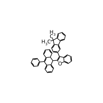 CC1(C)c2ccccc2-c2cc(-c3c(C4c5ccccc5C(c5ccccc5)=C5C=CC=CC54)oc4ccccc34)ccc21